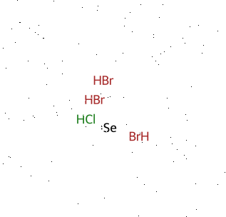 Br.Br.Br.Cl.[Se]